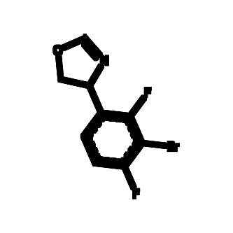 Fc1ccc(C2CO[C]=N2)c(F)c1Br